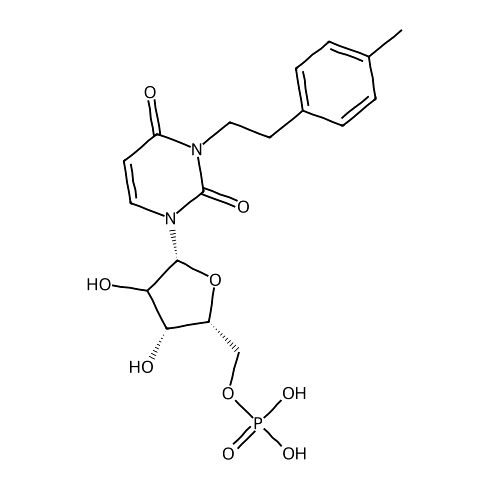 Cc1ccc(CCn2c(=O)ccn([C@@H]3O[C@H](COP(=O)(O)O)[C@H](O)C3O)c2=O)cc1